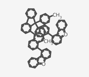 Cc1ccc(C2(c3ccc(C)cc3)c3ccccc3-c3cccc(-c4c5cccc(-c6cccc7oc8ccccc8c67)c5cc5c(-c6cccc7oc8ccccc8c67)cccc45)c32)cc1